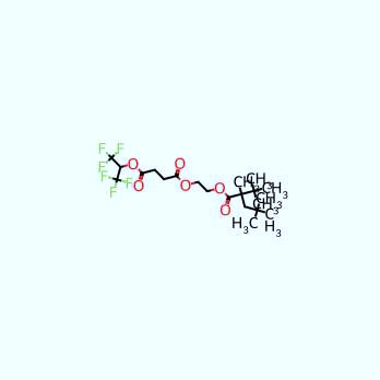 CC(C)(C)CC(C)(C(=O)OCCOC(=O)CCC(=O)OC(C(F)(F)F)C(F)(F)F)C(C)(C)C